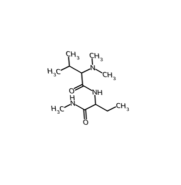 CCC(NC(=O)C(C(C)C)N(C)C)C(=O)NC